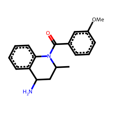 COc1cccc(C(=O)N2c3ccccc3C(N)CC2C)c1